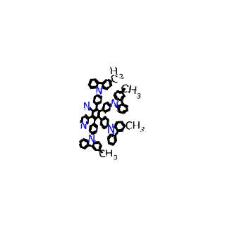 Cc1ccc2c(c1)c1ccccc1n2-c1ccc(-c2c(C#N)c(-c3cccnc3)c(-c3ccc(-n4c5ccccc5c5cc(C)ccc54)cc3)c(-c3ccc(-n4c5ccccc5c5cc(C)ccc54)cc3)c2-c2ccc(-n3c4ccccc4c4cc(C)ccc43)cc2)cc1